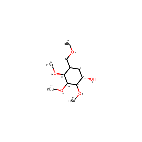 CCCCOCC1C[C@H](O)C(OCCCC)C(OCCCC)[C@H]1OCCCC